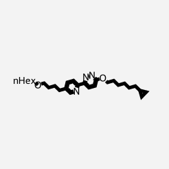 CCCCCCOCCCCc1ccc(-c2ccc(OCCCCCCC3CC3)nn2)nc1